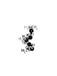 C=CC(=O)Nc1cc(Nc2cc(-c3cccc(NC(=O)c4ccc(N(C)C)cc4)c3C)cn(C)c2=O)ccc1C(=O)N1CCCCC1